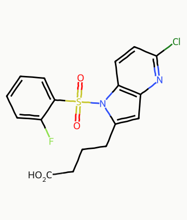 O=C(O)CCCc1cc2nc(Cl)ccc2n1S(=O)(=O)c1ccccc1F